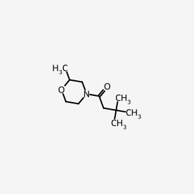 CC1CN(C(=O)CC(C)(C)C)CCO1